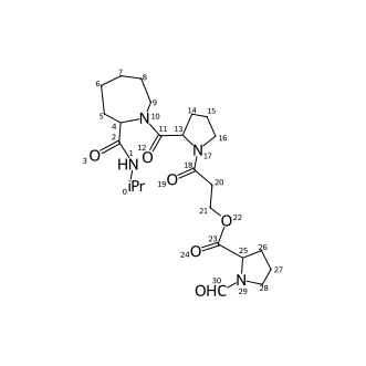 CC(C)NC(=O)C1CCCCCN1C(=O)C1CCCN1C(=O)CCOC(=O)C1CCCN1C=O